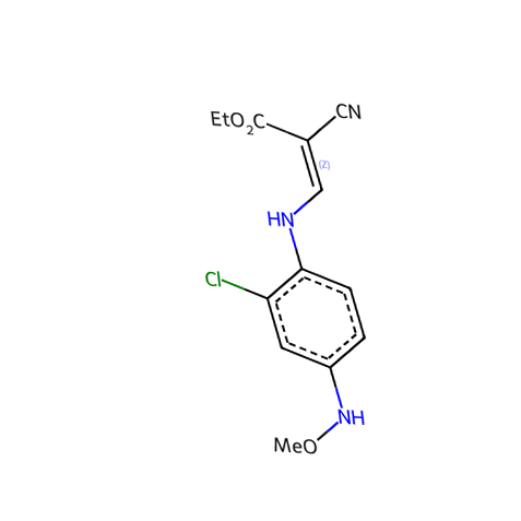 CCOC(=O)/C(C#N)=C\Nc1ccc(NOC)cc1Cl